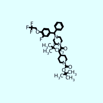 CC(C)(C)OC(=O)N1CCC(CC(=O)N2CCN(C(c3ccccc3)c3ccc(OCC(F)(F)F)c(F)c3)C[C@@H]2C(C)(C)C)CC1